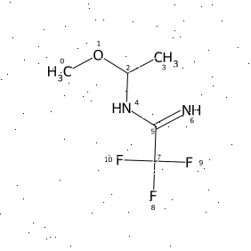 COC(C)NC(=N)C(F)(F)F